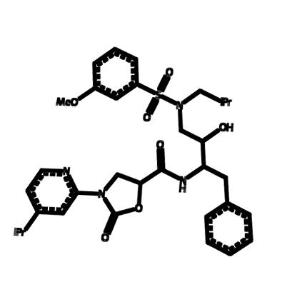 COc1cccc(S(=O)(=O)N(CC(C)C)CC(O)C(Cc2ccccc2)NC(=O)C2CN(c3cc(C(C)C)ccn3)C(=O)O2)c1